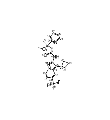 CO[C@](C)(CC(=O)Nc1nn2ccc(C(F)(F)F)cc2c1C1CCC1)c1ccccn1